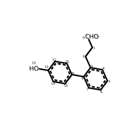 O=[C]CCc1ccccc1-c1ccc(O)cc1